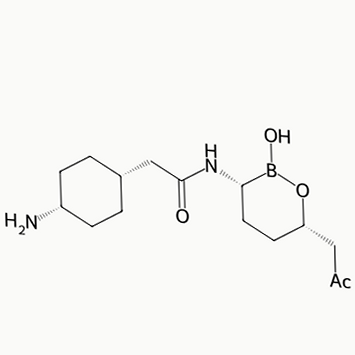 CC(=O)C[C@@H]1CC[C@H](NC(=O)C[C@H]2CC[C@@H](N)CC2)B(O)O1